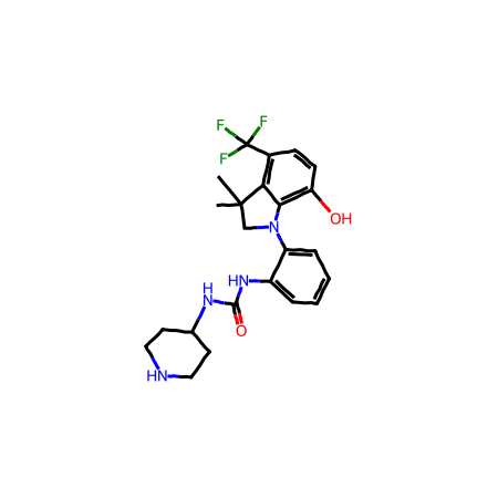 CC1(C)CN(c2ccccc2NC(=O)NC2CCNCC2)c2c(O)ccc(C(F)(F)F)c21